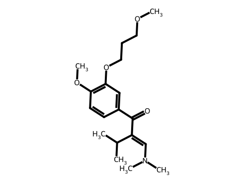 COCCCOc1cc(C(=O)/C(=C/N(C)C)C(C)C)ccc1OC